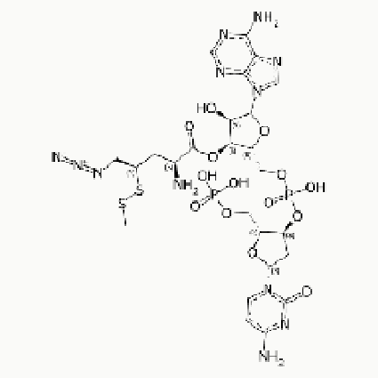 CSS[C@@H](CN=[N+]=[N-])C[C@H](N)C(=O)O[C@@H]1[C@@H](COP(=O)(O)O[C@H]2C[C@H](n3ccc(N)nc3=O)O[C@@H]2COP(=O)(O)O)OC(n2cnc3c(N)ncnc32)[C@@H]1O